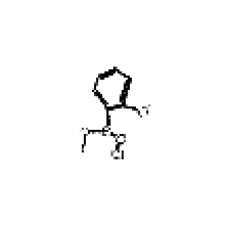 ClOB(OCl)c1ccccc1Cl